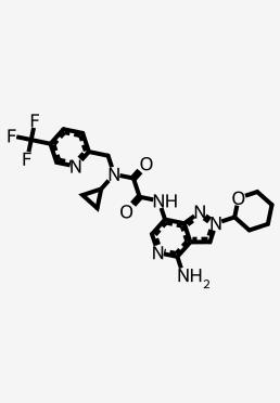 Nc1ncc(NC(=O)C(=O)N(Cc2ccc(C(F)(F)F)cn2)C2CC2)c2nn(C3CCCCO3)cc12